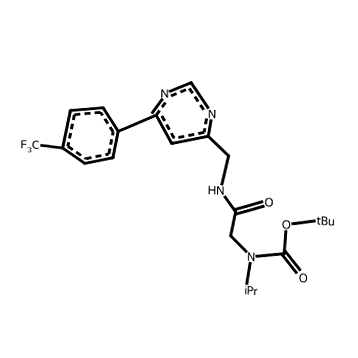 CC(C)N(CC(=O)NCc1cc(-c2ccc(C(F)(F)F)cc2)ncn1)C(=O)OC(C)(C)C